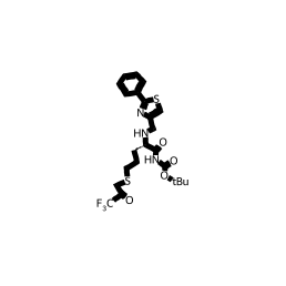 CC(C)(C)OC(=O)NC(=O)[C@H](CCCSCC(=O)C(F)(F)F)NCc1csc(-c2ccccc2)n1